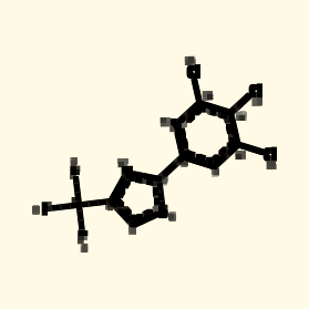 FC(F)(F)c1csc(-c2cc(Cl)c(Cl)c(Cl)n2)n1